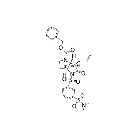 C=CC[C@H]1C(=O)N(S(=O)(=O)c2cccc(S(=O)(=O)N(C)C)c2)[C@H]2CCN(C(=O)OCc3ccccc3)[C@H]12